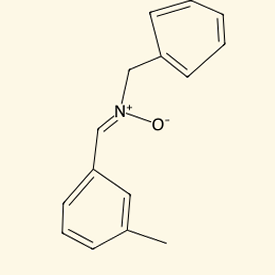 Cc1cccc(C=[N+]([O-])Cc2ccccc2)c1